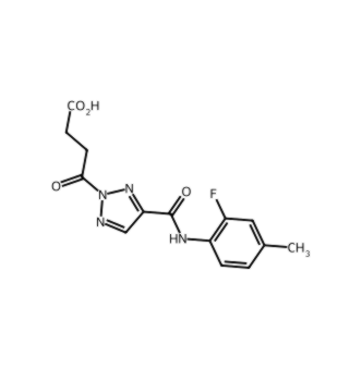 Cc1ccc(NC(=O)c2cnn(C(=O)CCC(=O)O)n2)c(F)c1